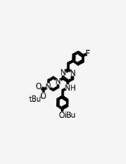 CC(C)COc1ccc(CNc2cnc(Cc3ccc(F)cc3)nc2N2CCN(C(=O)OC(C)(C)C)CC2)cc1